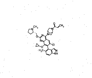 C=CC(=O)N1CC2CC1CN2c1nc(OC[C@@H]2CCCN2C)nc2c(OC3CC3)c(-c3c(C)ccc4[nH]ncc34)c(Cl)cc12